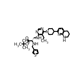 CCc1c(NC[C@H](NCc2ccsc2)C(=O)OC(C)(C)C)ncnc1N1CCC(c2ccc3c(n2)NCCC3)CC1